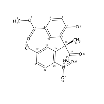 COC(=O)c1ccc(Cl)c([C@](C)(C(=O)O)c2cc(Cl)ccc2[N+](=O)[O-])c1